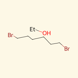 BrCCCCCCBr.CCO